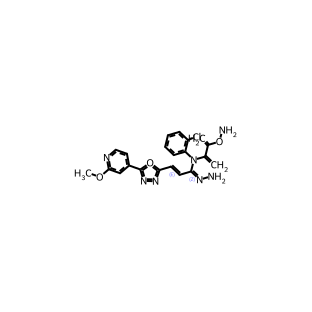 C=C(ON)C(=C)N(C(/C=C/c1nnc(-c2ccnc(OC)c2)o1)=N\N)c1ccccc1Cl